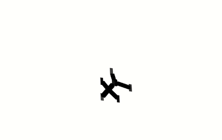 IB(I)C(I)(I)I